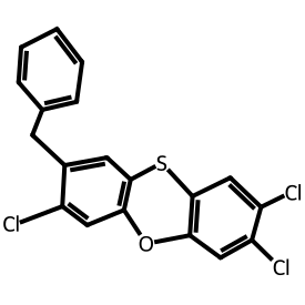 Clc1cc2c(cc1Cl)Sc1cc(Cc3ccccc3)c(Cl)cc1O2